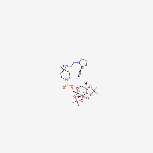 CC1(NCCN2CCC[C@H]2C#N)CCN(S(=O)OC[C@@]23OC[C@H]4OC(C)(C)O[C@H]4[C@@H]2OC(C)(C)O3)CC1